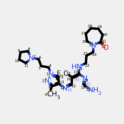 Cc1nn(CCCN2CCCC2)cc1\N=C/C(=C(\N=C\N)NCCCN1CCCCCC1=O)C(F)(F)F